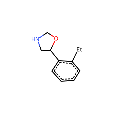 CCc1ccccc1C1CNCO1